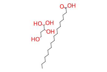 CCCCCCCCCCCCCCCCCC(=O)O.OCCC(O)C(O)O